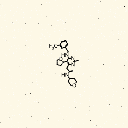 C=C(Cc1nc(C)nc(NCc2cccc(C(F)(F)F)c2)c1C1CCCO1)NC1CCOCC1